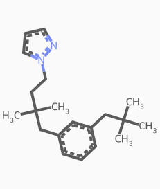 CC(C)(C)Cc1cccc(CC(C)(C)CCn2cccn2)c1